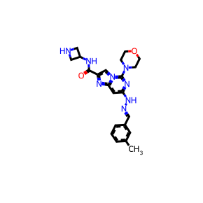 Cc1cccc(/C=N/Nc2cc3nc(C(=O)NC4CNC4)cn3c(N3CCOCC3)n2)c1